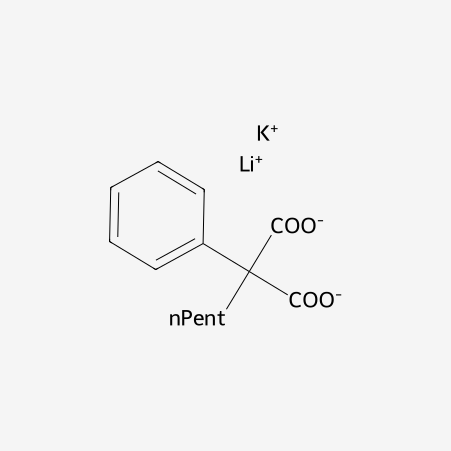 CCCCCC(C(=O)[O-])(C(=O)[O-])c1ccccc1.[K+].[Li+]